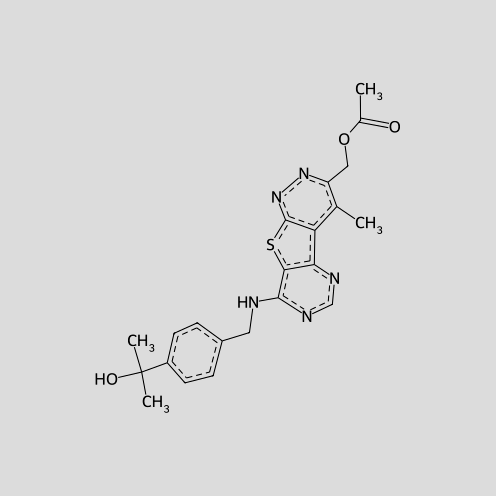 CC(=O)OCc1nnc2sc3c(NCc4ccc(C(C)(C)O)cc4)ncnc3c2c1C